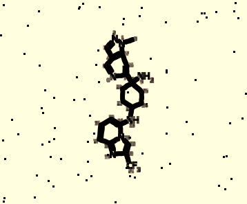 Cn1ncc2cnc(C3(N)CCC(Nc4cccc5nc(C(F)(F)F)cn45)CC3)cc21